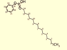 CCCCCCCCCCCCCCCOP(O)Oc1ccccc1